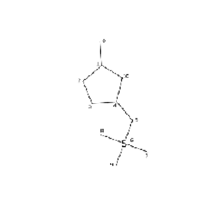 CC1CCC(CS(C)(C)C)C1